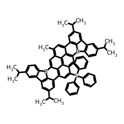 Cc1cc2c3c(cc4c([Si](c5ccccc5)(c5ccccc5)c5ccccc5)cc5c6c(cc1c3c46)B1c3ccc(C(C)C)cc3-c3cc(C(C)C)cc-5c31)B1c3ccc(C(C)C)cc3-c3cc(C(C)C)cc-2c31